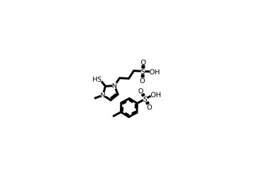 CN1C=CN(CCCS(=O)(=O)O)C1S.Cc1ccc(S(=O)(=O)O)cc1